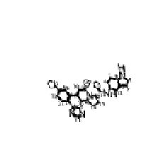 O=C(Nc1ccc2[nH]ccc2c1)[C@@H]1CCc2cc(-c3cc(Cl)ccc3-n3cnnn3)cc(=O)n21